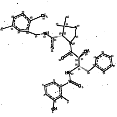 Cc1c(O)cccc1C(=O)N[C@@H](Cc1ccccc1)[C@H](O)C(=O)N1CSC(C)(C)[C@H]1C(=O)NCc1cc(F)ccc1C(F)(F)F